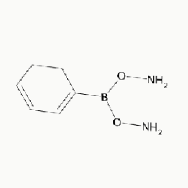 NOB(ON)C1=CC=CCC1